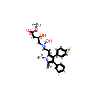 CC(C)c1c(-c2ccccc2)c(-c2ccc(F)cc2)c(CCN(O)CC(O)CC(=O)OC(C)(C)C)n1C(C)C